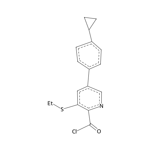 CCSc1cc(-c2ccc(C3CC3)cc2)cnc1C(=O)Cl